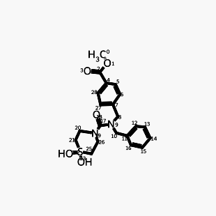 COC(=O)c1ccc(CN(Cc2ccccc2)C(=O)N2CCS(O)(O)CC2)cc1